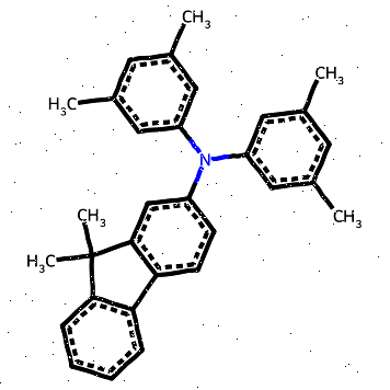 Cc1cc(C)cc(N(c2cc(C)cc(C)c2)c2ccc3c(c2)C(C)(C)c2ccccc2-3)c1